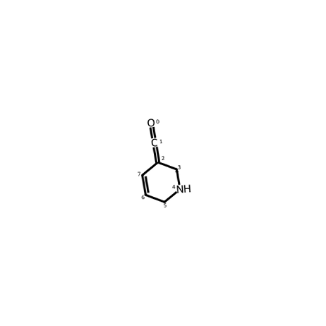 O=C=C1[C]NCC=C1